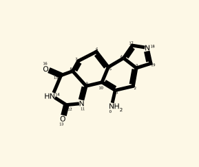 Nc1cc2c(c3ccc4c(c13)=NC(=O)NC4=O)=CN=C2